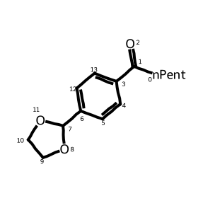 CCCCCC(=O)c1ccc(C2OCCO2)cc1